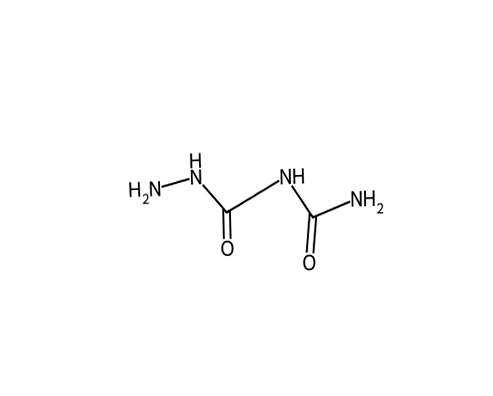 NNC(=O)NC(N)=O